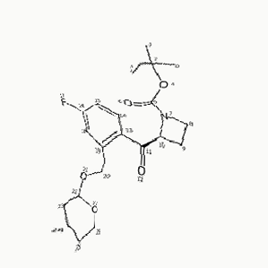 CC(C)(C)OC(=O)N1CC[C@H]1C(=O)c1ccc(F)cc1COC1CCCCO1